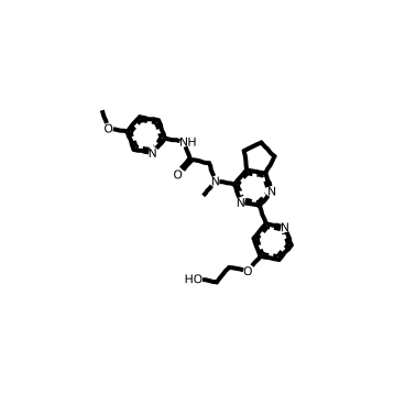 COc1ccc(NC(=O)CN(C)c2nc(-c3cc(OCCO)ccn3)nc3c2CCC3)nc1